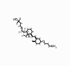 C=C1CC[C@H](OCCCN)C/C1=C/C=C1\CCC[C@]2(C)[C@@H]([C@H](C)CCCC(C)(C)O)CC[C@@H]12